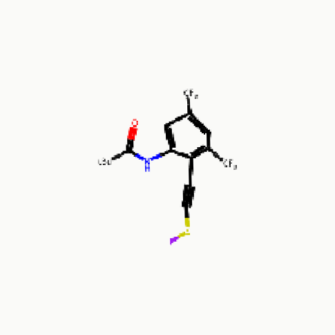 CC(C)(C)C(=O)Nc1cc(C(F)(F)F)cc(C(F)(F)F)c1C#CSI